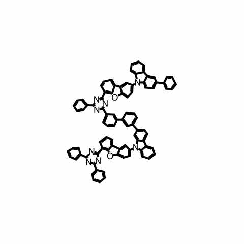 c1ccc(-c2ccc3c(c2)c2ccccc2n3-c2ccc3oc4c(-c5nc(-c6ccccc6)nc(-c6cccc(-c7cccc(-c8ccc9c%10ccccc%10n(-c%10ccc%11oc%12c(-c%13nc(-c%14ccccc%14)nc(-c%14ccccc%14)n%13)cccc%12c%11c%10)c9c8)c7)c6)n5)cccc4c3c2)cc1